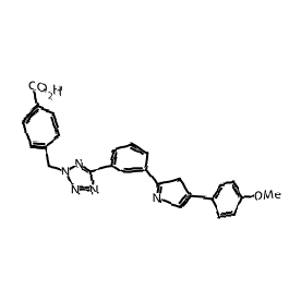 COc1ccc(C2=CN=C(c3cccc(-c4nnn(Cc5ccc(C(=O)O)cc5)n4)c3)C2)cc1